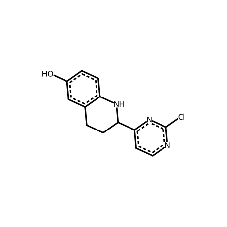 Oc1ccc2c(c1)CCC(c1ccnc(Cl)n1)N2